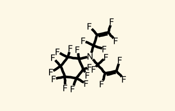 FC(F)=C(F)C(F)(F)N(C(F)(F)C(F)=C(F)F)C1(F)C(F)(F)C(F)(F)C(F)(F)C(F)(F)C1(F)F